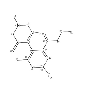 C=C1CN(C)CC(C)=C1c1c(C)cc(F)cc1C(=C)CCC